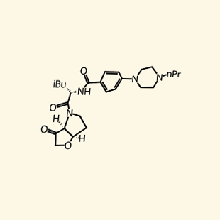 CCCN1CCN(c2ccc(C(=O)N[C@H](C(=O)N3CC[C@H]4OCC(=O)[C@H]43)[C@@H](C)CC)cc2)CC1